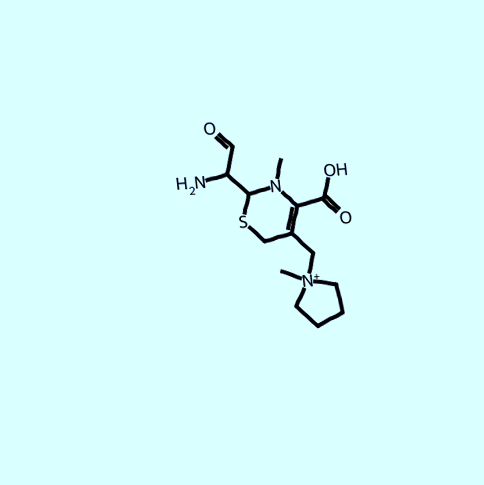 CN1C(C(=O)O)=C(C[N+]2(C)CCCC2)CSC1C(N)C=O